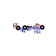 CC(C)c1ccccc1NC(=O)NS/N=C/c1cc2ccc3c(ncn3-c3ccc(OC(F)(F)F)cc3)c2cn1